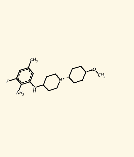 CO[C@H]1CC[C@H](N2CCC(Nc3cc(C)cc(F)c3N)CC2)CC1